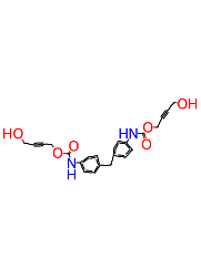 O=C(Nc1ccc(Cc2ccc(NC(=O)OCC#CCO)cc2)cc1)OCC#CCO